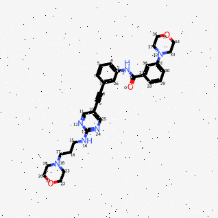 O=C(Nc1cccc(C#Cc2cnc(NCCCN3CCOCC3)nc2)c1)c1cccc(N2CCOCC2)c1